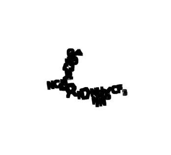 Cc1nc(NC2CCN(Cc3ccc4c(cc(C#N)n4C[C@H](C)N4CCN(CS(=O)(=O)C5CC5)CC4)c3C)CC2)c2cc(CC(F)(F)F)sc2n1